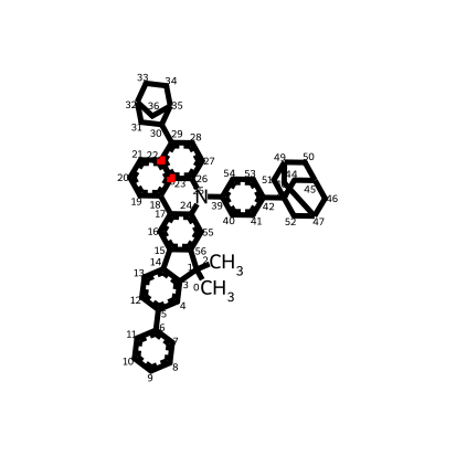 CC1(C)c2cc(-c3ccccc3)ccc2-c2cc(-c3ccccc3)c(N(c3ccc(C4CC5CCC4C5)cc3)c3ccc(C45CC6CC(CC(C6)C4)C5)cc3)cc21